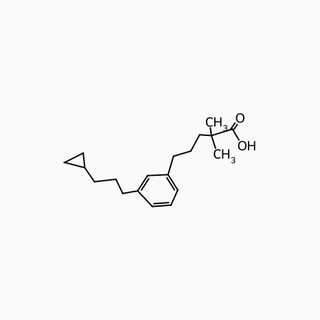 CC(C)(CCCc1cccc(CCCC2CC2)c1)C(=O)O